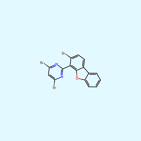 Brc1cc(Br)nc(-c2c(Br)ccc3c2oc2ccccc23)n1